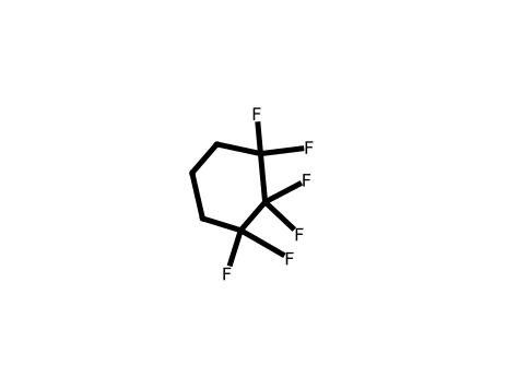 FC1(F)CCCC(F)(F)C1(F)F